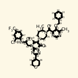 CCc1c(N2CC[C@@H](C)N(C(=O)c3ncnc(C)c3OCc3ccccc3)CC2)c(=O)n2nc(C3=CCOCC3)nc2n1CC(=O)Nc1ccc(C(F)(F)F)cc1Cl